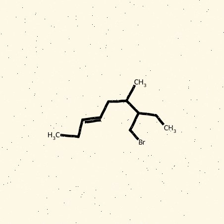 CC/C=C/CC(C)C(CC)CBr